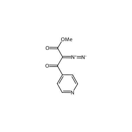 COC(=O)C(=[N+]=[N-])C(=O)c1ccncc1